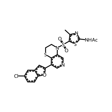 CC(=O)Nc1nc(C)c(S(=O)(=O)N2CCSc3c(-c4cc5cc(Cl)ccc5o4)cncc32)s1